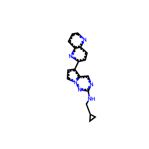 c1cnc2ccc(-c3ccn4nc(NCC5CC5)ncc34)nc2c1